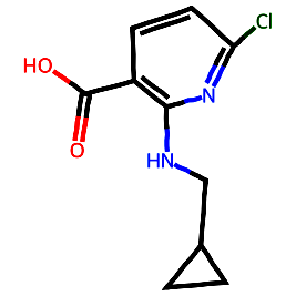 O=C(O)c1ccc(Cl)nc1NCC1CC1